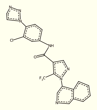 O=C(Nc1ccc(-n2ccnn2)c(Cl)c1)c1cnn(-c2cncc3ccccc23)c1C(F)(F)F